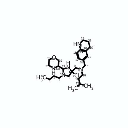 CCCCN1CC(Cl)(CN(CCC(C)C)Cc2ccc3c(c2)CCCN3)NC1C1COCCN1